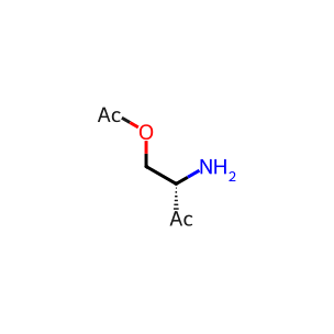 CC(=O)OC[C@H](N)C(C)=O